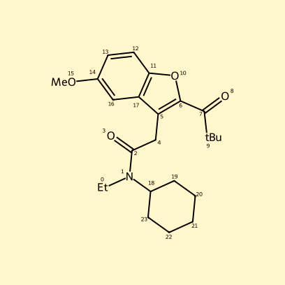 CCN(C(=O)Cc1c(C(=O)C(C)(C)C)oc2ccc(OC)cc12)C1CCCCC1